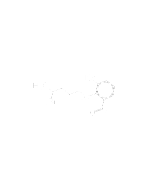 CC(Br)CCCOc1c(O)cccc1C=O